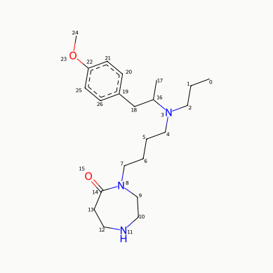 CCCN(CCCCN1CCNCCC1=O)C(C)Cc1ccc(OC)cc1